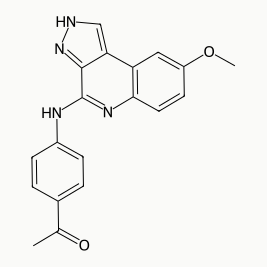 COc1ccc2nc(Nc3ccc(C(C)=O)cc3)c3n[nH]cc3c2c1